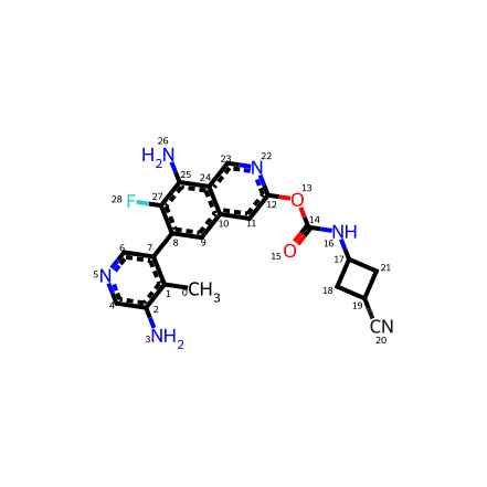 Cc1c(N)cncc1-c1cc2cc(OC(=O)NC3CC(C#N)C3)ncc2c(N)c1F